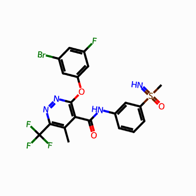 Cc1c(C(F)(F)F)nnc(Oc2cc(F)cc(Br)c2)c1C(=O)Nc1cccc(S(C)(=N)=O)c1